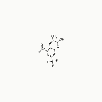 CC(=Cc1ccc(C(F)(F)F)cc1[N+](=O)[O-])C(=O)O